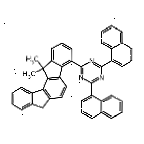 CC1(C)c2cccc(-c3nc(-c4cccc5ccccc45)nc(-c4cccc5ccccc45)n3)c2-c2ccc3c(c21)-c1ccccc1C3